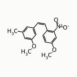 COc1cc(C)cc(/C=C\c2ccc(OC)cc2[N+](=O)[O-])c1